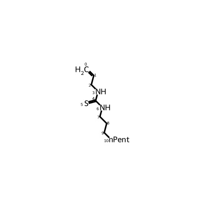 C=CCNC(=S)NCCCCCCCC